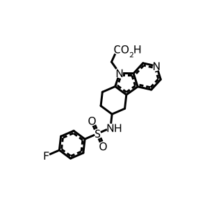 O=C(O)Cn1c2c(c3ccncc31)CC(NS(=O)(=O)c1ccc(F)cc1)CC2